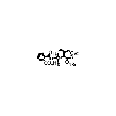 CC(=O)OCC1=C(C(=O)OC(C)(C)C)N2C(=O)C(NC(=O)c3ccccc3C(=O)O)[C@H]2SC1